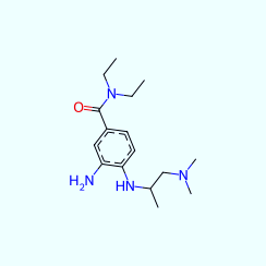 CCN(CC)C(=O)c1ccc(NC(C)CN(C)C)c(N)c1